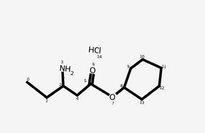 CCC(N)CC(=O)OC1CCCCC1.Cl